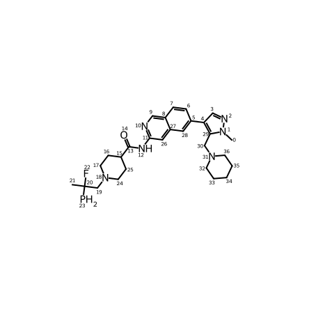 Cn1ncc(-c2ccc3cnc(NC(=O)C4CCN(CC(C)(F)P)CC4)cc3c2)c1CN1CCCCC1